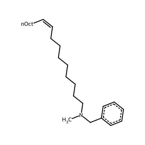 CCCCCCCC/C=C\CCCCCCCCN(C)Cc1ccccc1